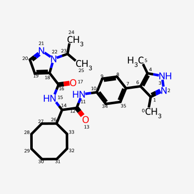 Cc1n[nH]c(C)c1-c1ccc(NC(=O)C(NC(=O)c2ccnn2C(C)C)C2CCCCCCC2)cc1